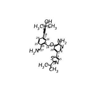 CC(C)c1ncc(-c2cnc(N)c(OCc3cc(C#CC(C)(C)O)ccc3CN)c2)s1